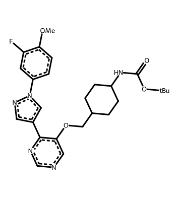 COc1ccc(-n2cc(-c3ncncc3OCC3CCC(NC(=O)OC(C)(C)C)CC3)cn2)cc1F